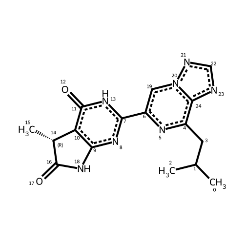 CC(C)Cc1nc(-c2nc3c(c(=O)[nH]2)[C@@H](C)C(=O)N3)cn2ncnc12